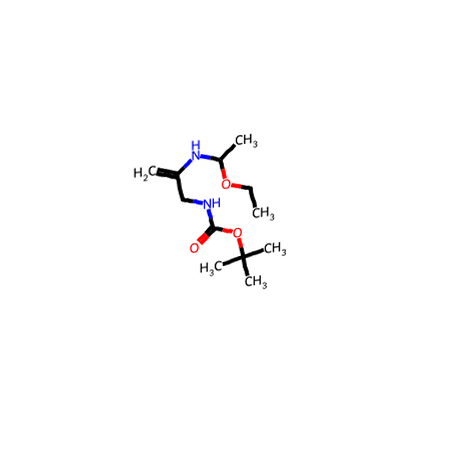 C=C(CNC(=O)OC(C)(C)C)NC(C)OCC